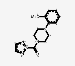 COc1ccccc1N1CCN(C(=O)n2nccn2)CC1